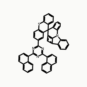 c1ccc2c(c1)Sc1ccc(-c3nc(-c4cccc5ccccc45)nc(-c4cccc5ccccc45)n3)cc1C21c2ccccc2-n2c3ccccc3c3cccc1c32